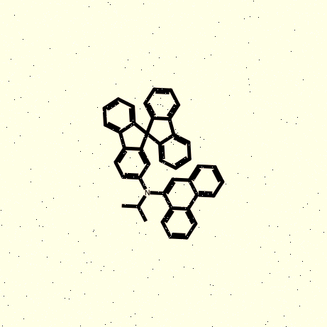 CC(C)N(c1ccc2c(c1)C1(c3ccccc3-c3ccccc31)c1ccccc1-2)c1cc2ccccc2c2ccccc12